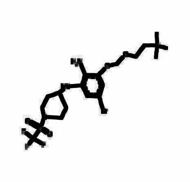 C[Si](C)(C)CCOCOc1cc(Br)cc(NC2CCN(S(=O)(=O)C(F)(F)F)CC2)c1N